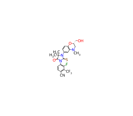 CN1C[C@@H](CO)Oc2ccc(N3C(=S)N(c4ccc(C#N)c(C(F)(F)F)c4F)C(=O)C3(C)C)cc21